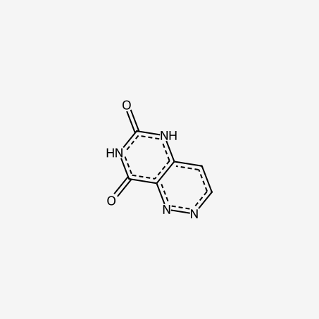 O=c1[nH]c(=O)c2nnccc2[nH]1